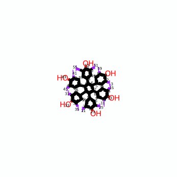 Oc1c(I)cc(-c2c(-c3cc(I)c(O)c(I)c3)c(-c3cc(I)c(O)c(I)c3)c(-c3cc(I)c(O)c(I)c3)c(-c3cc(I)c(O)c(I)c3)c2-c2cc(I)c(O)c(I)c2)cc1I